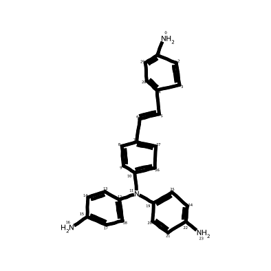 Nc1ccc(C=Cc2ccc(N(c3ccc(N)cc3)c3ccc(N)cc3)cc2)cc1